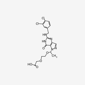 CC(OCCOCC(=O)O)n1ncc2nc(NCc3ccc(Cl)c(Cl)c3)[nH]c(=O)c21